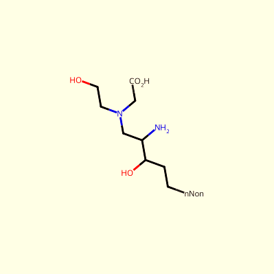 CCCCCCCCCCCC(O)C(N)CN(CCO)CC(=O)O